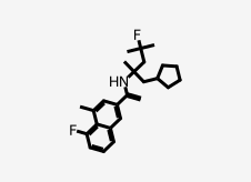 C=C(NC(C)(CC1CCCC1)CC(C)(C)F)c1cc(C)c2c(F)cccc2c1